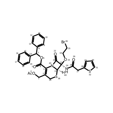 CC(=O)OCC1=C(C(=O)OC(c2ccccc2)c2ccccc2)N2C(=O)[C@@](NC(=O)Cc3cccs3)(OCCBr)[C@H]2SC1